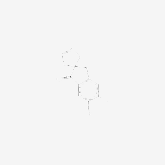 Cc1cc2c(cc1Br)C(=O)C1(CC=CC1)C2